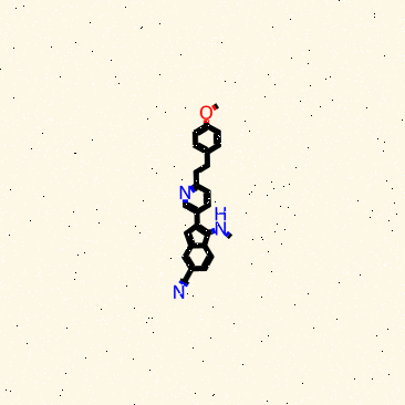 CNC1=C(c2ccc(CCc3ccc(OC)cc3)nc2)C=C2C=C(C#N)C=CC21